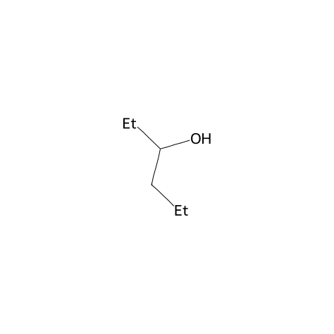 [CH2]CCC(O)CC